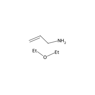 C=CCN.CCOCC